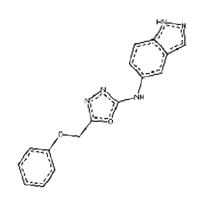 c1ccc(OCc2nnc(Nc3ccc4[nH]ncc4c3)o2)cc1